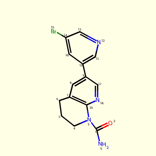 NC(=O)N1CCCc2cc(-c3cncc(Br)c3)cnc21